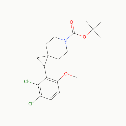 COc1ccc(Cl)c(Cl)c1C1CC12CCN(C(=O)OC(C)(C)C)CC2